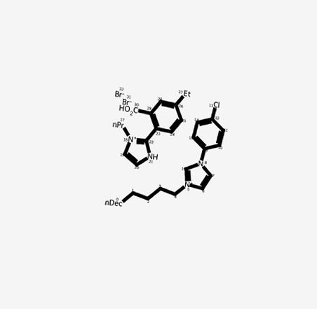 CCCCCCCCCCCCCC[n+]1ccn(-c2ccc(Cl)cc2)c1.CCC[n+]1cc[nH]c1-c1ccc(CC)cc1C(=O)O.[Br-].[Br-]